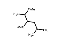 COC(C)C(CN(C)C)OC